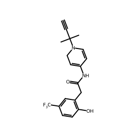 C#CC(C)(C)N1C=CC(NC(=O)Cc2cc(C(F)(F)F)ccc2O)=CC1